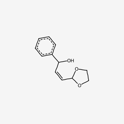 OC(/C=C\C1OCCO1)c1ccccc1